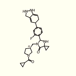 O=C(C1CC1)N1CC[C@@H](CN2C(=O)C3(CC3)NC2c2ccc(C3C=C4CNNC4=CC3)cc2F)C1